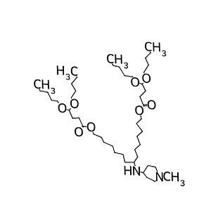 CCCCCOC(CCC(=O)OCCCCCCCC(CCCCCCCOC(=O)CCC(OCCCCC)OCCCCC)NC1CCN(C)CC1)OCCCCC